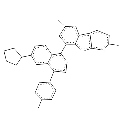 Cc1ccc(-c2cnc(-c3cc(C)cc4c3oc3nc(C)ccc34)c3ccc(C4CCCC4)cc23)cc1